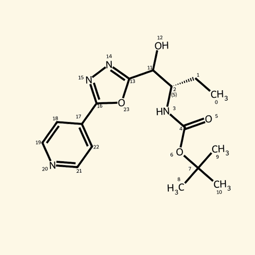 CC[C@H](NC(=O)OC(C)(C)C)C(O)c1nnc(-c2ccncc2)o1